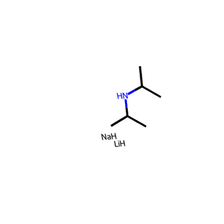 CC(C)NC(C)C.[LiH].[NaH]